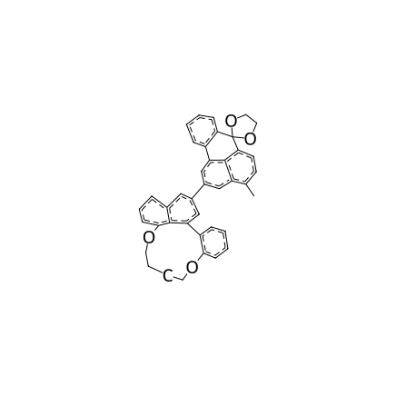 Cc1ccc2c3c(cc(-c4cc5c6c(cccc6c4)OCCCCOc4ccccc4-5)cc13)-c1ccccc1C21OCCO1